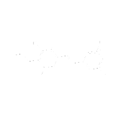 CCCC1=C(O)C=C(C=Cc2cc(F)cc(F)c2)C[C]1O